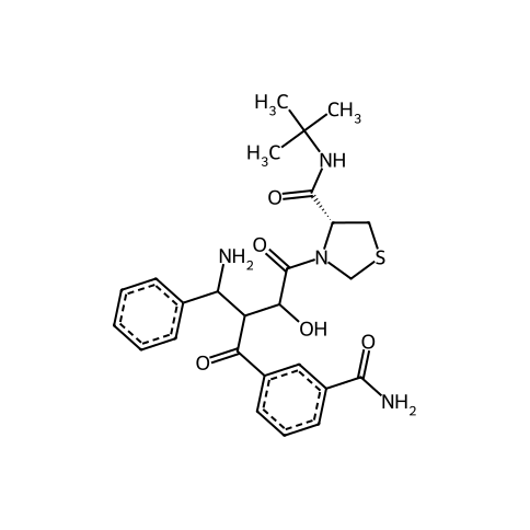 CC(C)(C)NC(=O)[C@@H]1CSCN1C(=O)C(O)C(C(=O)c1cccc(C(N)=O)c1)C(N)c1ccccc1